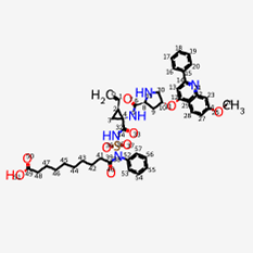 C=C[C@@H]1C[C@]1(NC(=O)[C@@H]1C[C@@H](Oc2cc(-c3ccccc3)nc3cc(OC)ccc23)CN1)C(=O)NS(=O)(=O)N(C(=O)CCCCCCCCC(=O)O)c1ccccc1